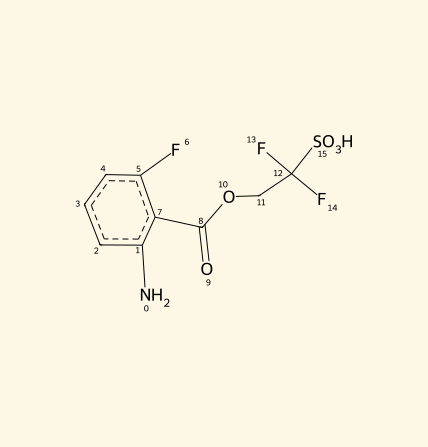 Nc1cccc(F)c1C(=O)OCC(F)(F)S(=O)(=O)O